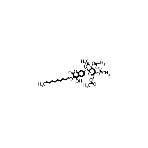 CCCCCCCCCCOc1c(O)c2ccc(O[C@@H]3O[C@H](COC(C)=O)[C@H](OC(C)=O)[C@H](OC(C)=O)[C@H]3OC(C)=O)cc2oc1=O